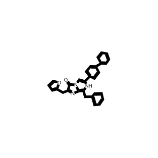 O=c1c(Cc2ccco2)nc2c(Cc3ccccc3)[nH]c(-c3ccc(-c4ccccc4)cc3)cn1-2